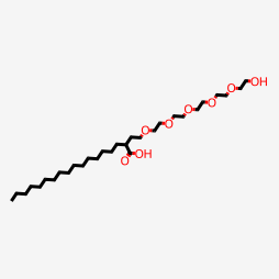 CCCCCCCCCCCCCCCCC(CCOCCOCCOCCOCCOCCO)C(=O)O